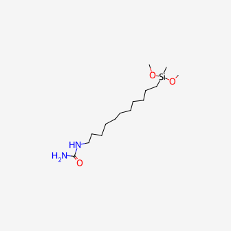 CO[Si](C)(CCCCCCCCCCCNC(N)=O)OC